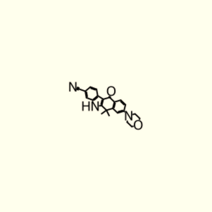 CC1(C)c2cc(N3CCOCC3)ccc2C(=O)c2c1[nH]c1cc(C#N)ccc21